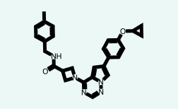 Cc1ccc(CNC(=O)C2CN(c3ncnn4cc(-c5ccc(OC6CC6)cc5)cc34)C2)cc1